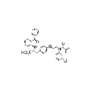 C=C(C)C(=O)N(CCOc1ccc(CC(Nc2ccccc2C(=O)c2ccccc2)C(=O)O)cc1)c1cccc(Cl)c1